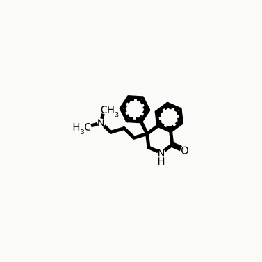 CN(C)CCCC1(c2ccccc2)CNC(=O)c2ccccc21